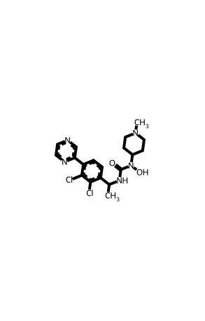 CC(NC(=O)N(O)C1CCN(C)CC1)c1ccc(-c2cnccn2)c(Cl)c1Cl